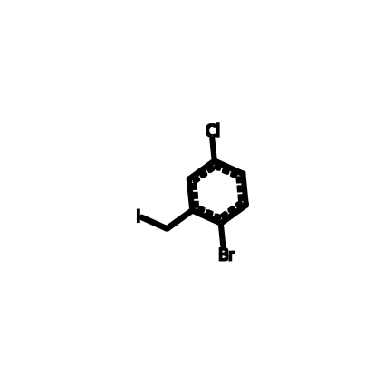 Clc1ccc(Br)c(CI)c1